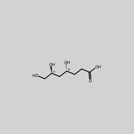 O=C(O)CC[C@@H](O)C[C@H](O)CO